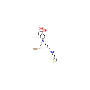 Br.Br.CCCN(CCCCCCNCCc1ccsc1)[C@H]1CCc2c(ccc(O)c2O)C1